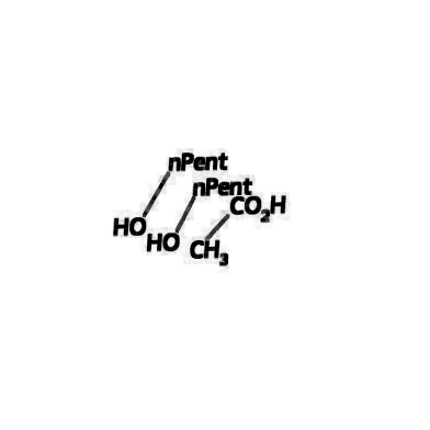 CC(=O)O.CCCCCO.CCCCCO